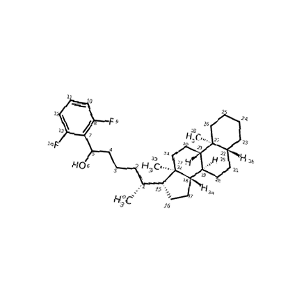 C[C@H](CCCC(O)c1c(F)cccc1F)[C@H]1CC[C@H]2[C@@H]3CC[C@H]4CCCC[C@]4(C)[C@H]3CC[C@]12C